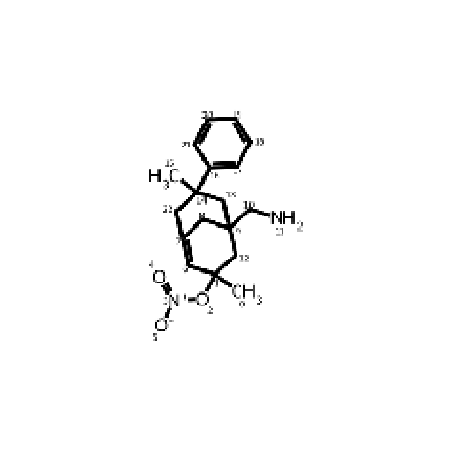 CC1(O[N+](=O)[O-])C=C2CC(CN)(C1)CC(C)(c1ccccc1)C2